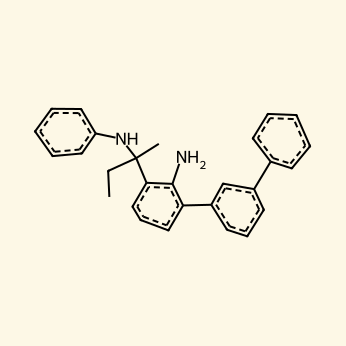 CCC(C)(Nc1ccccc1)c1cccc(-c2cccc(-c3ccccc3)c2)c1N